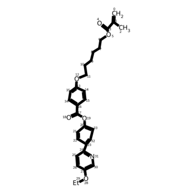 C=C(C)C(=O)OCCCCCCOc1ccc(C(=O)Oc2ccc(-c3ccc(OCC)cn3)cc2)cc1